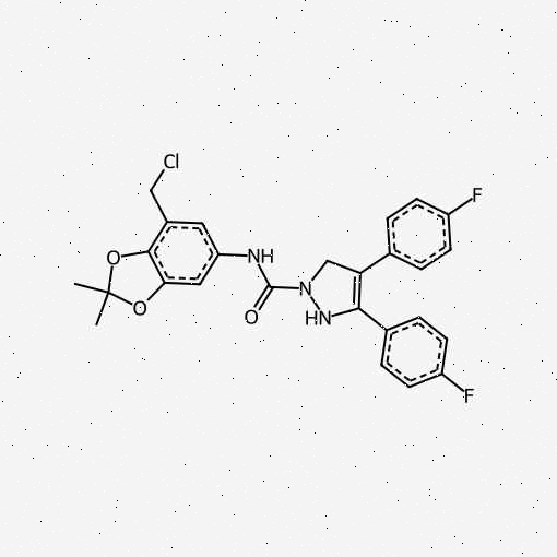 CC1(C)Oc2cc(NC(=O)N3CC(c4ccc(F)cc4)=C(c4ccc(F)cc4)N3)cc(CCl)c2O1